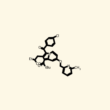 CCC(Cc1c(C(=O)C(C)(C)C)c2cc(OCc3cccc(C)n3)ccn2c1C(=O)c1ccc(Cl)cc1)C(=O)O